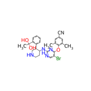 Cc1cc(C#N)cc(C)c1Oc1nc(NC2CCNCC2c2ccccc2C(C)(O)O)ncc1Br